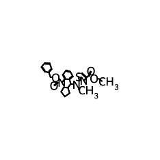 CCOC(=O)c1csc(N(CC)C2c3ccccc3N(C(=O)OCc3ccccc3)C3CCCC23)n1